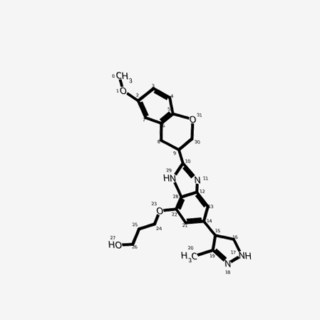 COc1ccc2c(c1)CC(c1nc3cc(C4CNN=C4C)cc(OCCCO)c3[nH]1)CO2